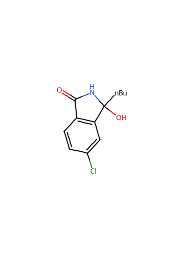 CCCCC1(O)NC(=O)c2ccc(Cl)cc21